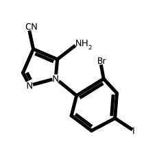 N#Cc1cnn(-c2ccc(I)cc2Br)c1N